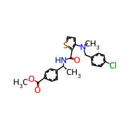 COC(=O)c1ccc([C@H](C)NC(=O)c2sccc2N(C)Cc2ccc(Cl)cc2)cc1